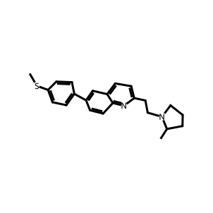 CSc1ccc(-c2ccc3nc(CCN4CCCC4C)ccc3c2)cc1